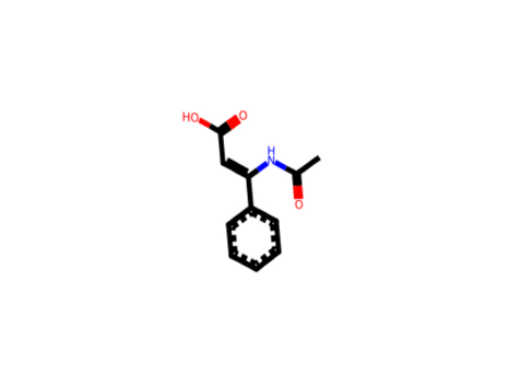 CC(=O)N/C(=C\C(=O)O)c1ccccc1